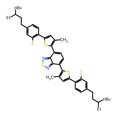 CCCCC(CC)CCc1ccc(-c2cc(C)c(-c3ccc(-c4sc(-c5ccc(CCC(CC)CCCC)cc5F)cc4C)c4nsnc34)s2)c(F)c1